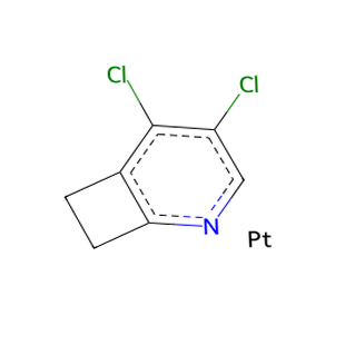 Clc1cnc2c(c1Cl)CC2.[Pt]